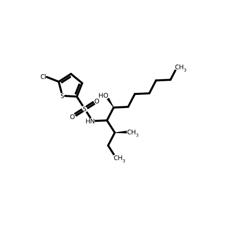 CCCCCC[C@H](O)C(NS(=O)(=O)c1ccc(Cl)s1)[C@@H](C)CC